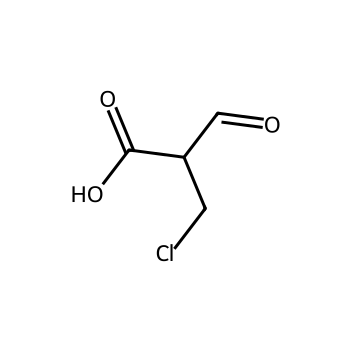 O=CC(CCl)C(=O)O